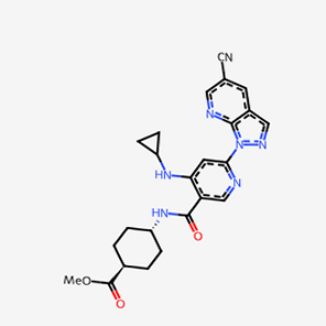 COC(=O)[C@H]1CC[C@H](NC(=O)c2cnc(-n3ncc4cc(C#N)cnc43)cc2NC2CC2)CC1